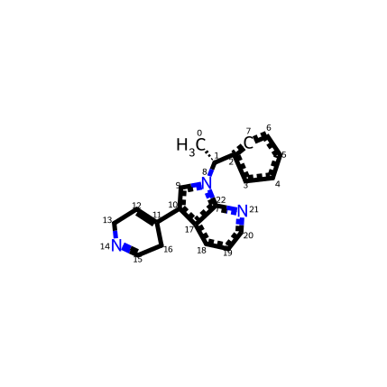 C[C@H](c1ccccc1)n1cc(C2=CCN=CC2)c2cccnc21